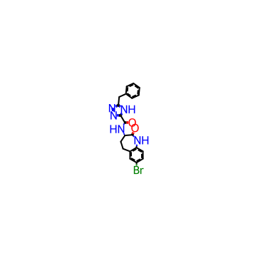 O=C(N[C@@H]1CCc2cc(Br)ccc2NC1=O)c1nnc(Cc2ccccc2)[nH]1